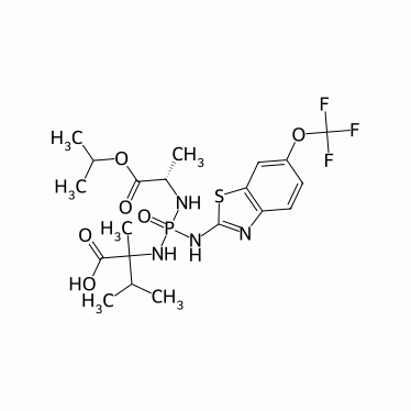 CC(C)OC(=O)[C@H](C)NP(=O)(Nc1nc2ccc(OC(F)(F)F)cc2s1)NC(C)(C(=O)O)C(C)C